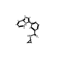 O=C(NC1CC1)c1cccc(-c2cnc3cccnn23)c1